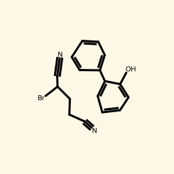 N#CCCC(Br)C#N.Oc1ccccc1-c1ccccc1